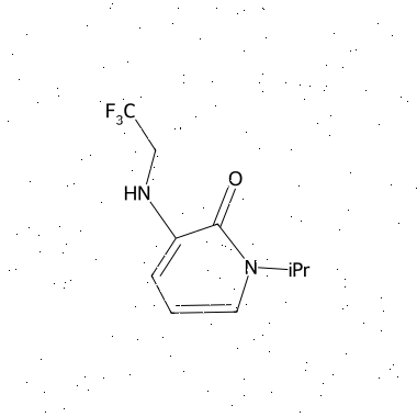 CC(C)n1cccc(NCC(F)(F)F)c1=O